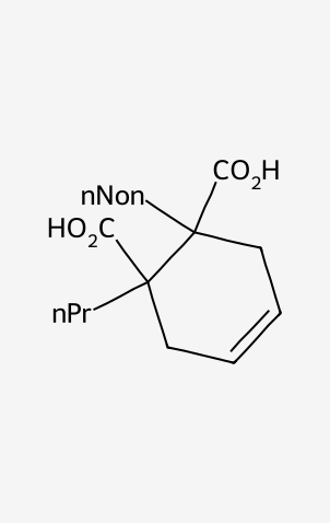 CCCCCCCCCC1(C(=O)O)CC=CCC1(CCC)C(=O)O